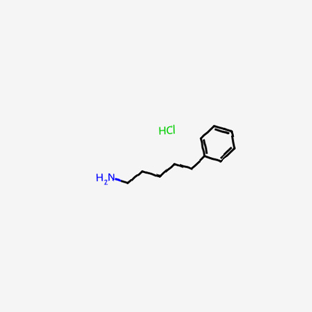 Cl.NCCCCCc1ccccc1